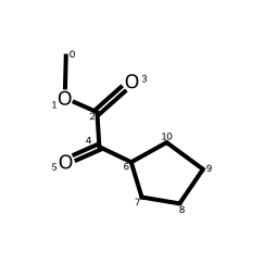 COC(=O)C(=O)C1CCCC1